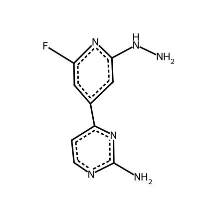 NNc1cc(-c2ccnc(N)n2)cc(F)n1